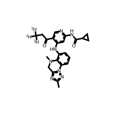 [2H]C([2H])([2H])CC(=O)c1cnc(NC(=O)C2CC2)cc1Nc1cccc2c1N(C)Cc1nc(C)nn1-2